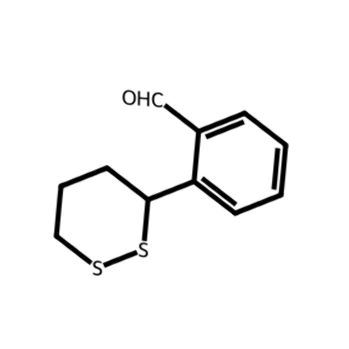 O=Cc1ccccc1C1CCCSS1